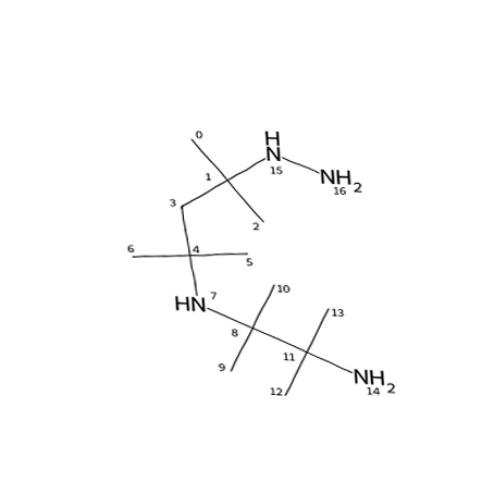 CC(C)(CC(C)(C)NC(C)(C)C(C)(C)N)NN